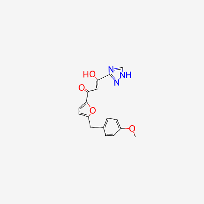 COc1ccc(Cc2ccc(C(=O)C=C(O)c3nc[nH]n3)o2)cc1